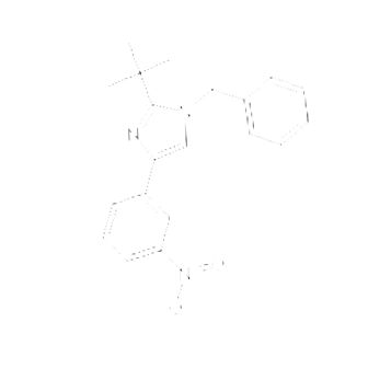 CC(C)(C)c1nc(-c2cccc([N+](=O)[O-])c2)cn1Cc1ccccc1